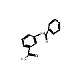 CC(=O)c1cccc(NC(=O)c2ccccc2)c1